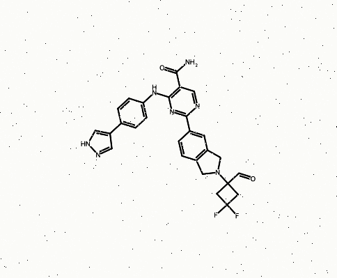 NC(=O)c1cnc(-c2ccc3c(c2)CN(C2(C=O)CC(F)(F)C2)C3)nc1Nc1ccc(-c2cn[nH]c2)cc1